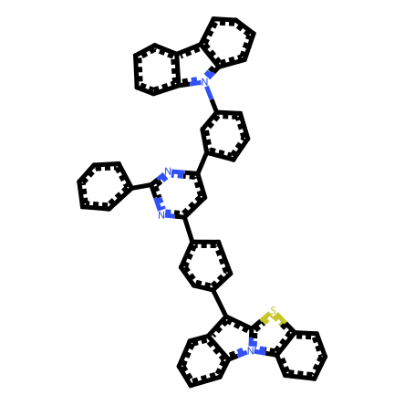 c1ccc(-c2nc(-c3ccc(-c4c5ccccc5n5c4sc4ccccc45)cc3)cc(-c3cccc(-n4c5ccccc5c5ccccc54)c3)n2)cc1